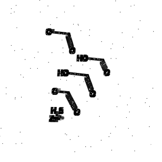 O=CO.O=CO.O=C[O-].O=C[O-].S.[Zn+2]